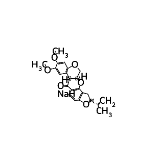 C=C(C)[C@H]1Cc2c(ccc3c2O[C@@H]2COc4cc(OC)c(OC)cc4[C@@H]2C3=O)O1.[NaH]